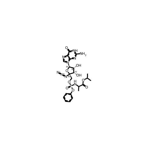 CC(C)OC(=O)C(C)NP(=O)(OC[C@@]1(N=[N+]=[N-])O[C@@H](n2cnc3c(=O)[nH]c(N)nc32)[C@H](O)[C@@H]1O)Oc1ccccc1